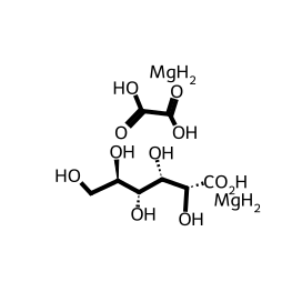 O=C(O)C(=O)O.O=C(O)[C@H](O)[C@@H](O)[C@H](O)[C@H](O)CO.[MgH2].[MgH2]